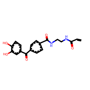 C=CC(=O)NCCNC(=O)c1ccc(C(=O)c2ccc(O)c(O)c2)cc1